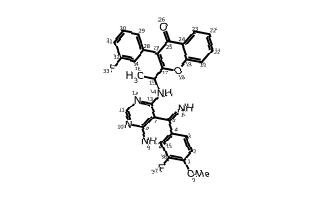 COc1ccc(C(=N)c2c(N)ncnc2NC(C)c2oc3ccccc3c(=O)c2-c2cccc(F)c2)cc1F